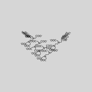 O=C([O-])CN(CCN(CC(=O)[O-])CC(=O)[O-])CC(=O)[O-].O=C([O-])CN(CCN(CC(=O)[O-])CC(=O)[O-])CC(=O)[O-].O=C([O-])CN(CCN(CC(=O)[O-])CC(=O)[O-])CC(=O)[O-].O=C([O-])CN(CCN(CC(=O)[O-])CC(=O)[O-])CC(=O)[O-].O=C([O-])CN(CCN(CC(=O)[O-])CC(=O)[O-])CC(=O)[O-].[Fe+3].[Fe+3].[Fe+3].[Fe+3].[NH4+].[NH4+].[NH4+].[NH4+].[NH4+].[NH4+].[NH4+].[NH4+]